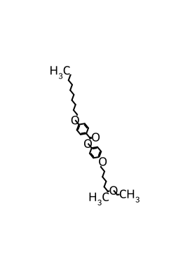 CCCCCCCCCCOc1ccc(C(=O)Oc2ccc(OCCCCCC(C)OCC)cc2)cc1